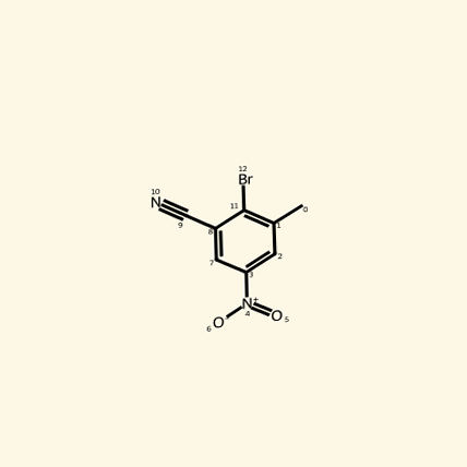 Cc1cc([N+](=O)[O-])cc(C#N)c1Br